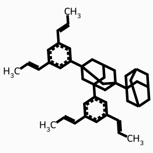 CC=Cc1cc(C=CC)cc(C23CC4CC(c5cc(C=CC)cc(C=CC)c5)(C2)CC(C25CC6CC(CC(C6)C2)C5)(C4)C3)c1